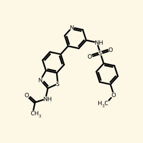 COc1ccc(S(=O)(=O)Nc2cncc(-c3ccc4nc(NC(C)=O)sc4c3)c2)cc1